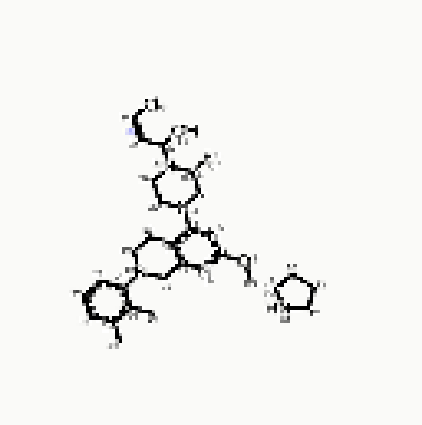 CC[C@H]1CN(c2nc(OC[C@@H]3CCCN3)nc3c2CCN(c2cccc(C)c2C)C3)CCN1C(O)/C=C\Cl